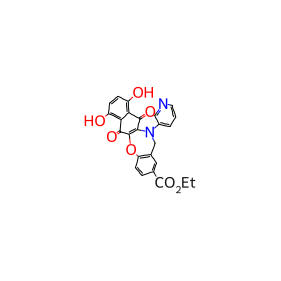 CCOC(=O)c1ccc2c(c1)CN(c1cccnc1)C1=C(O2)C(=O)c2c(O)ccc(O)c2C1=O